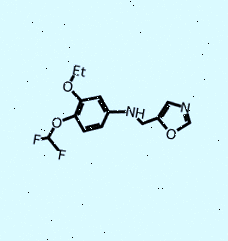 CCOc1cc(NCc2cnco2)ccc1OC(F)F